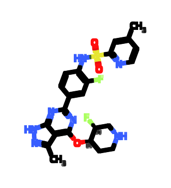 Cc1ccnc(S(=O)(=O)Nc2ccc(-c3nc(O[C@@H]4CCNC[C@@H]4F)c4c(C)n[nH]c4n3)cc2F)c1